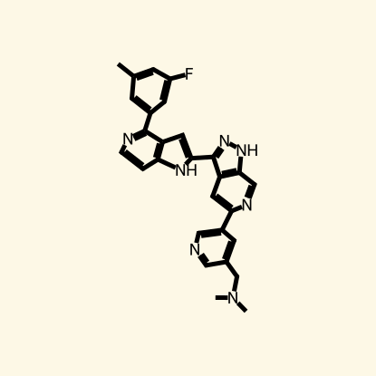 Cc1cc(F)cc(-c2nccc3[nH]c(-c4n[nH]c5cnc(-c6cncc(CN(C)C)c6)cc45)cc23)c1